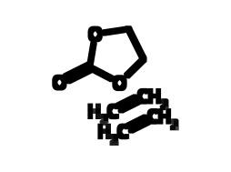 C=C.C=C.O=C1OCCO1